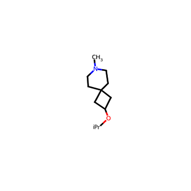 CC(C)OC1CC2(CCN(C)CC2)C1